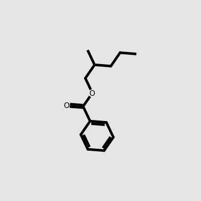 CCCC(C)COC(=O)c1ccccc1